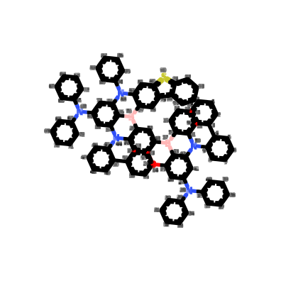 c1ccc(-c2ccccc2N2c3ccccc3B3c4cc5c(cc4Oc4cc(N(c6ccccc6)c6ccccc6)cc2c43)N(c2ccccc2-c2ccccc2)c2cc(N(c3ccccc3)c3ccccc3)cc3c2B5c2cc4c(cc2N3c2ccccc2)sc2ccccc24)cc1